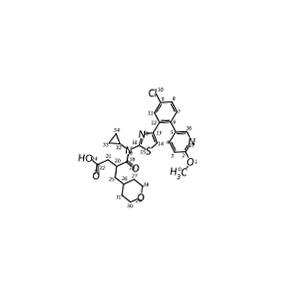 COc1ccc(-c2ccc(Cl)cc2-c2csc(N(C(=O)C(CC(=O)O)CC3CCOCC3)C3CC3)n2)cn1